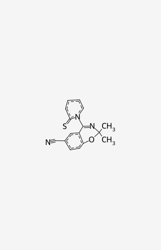 CC1(C)N=C(n2ccccc2=S)c2cc(C#N)ccc2O1